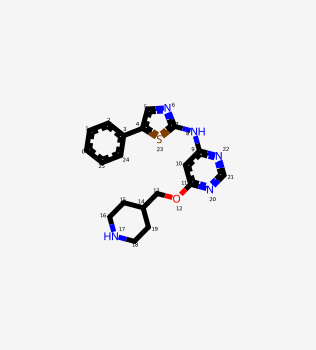 c1ccc(-c2cnc(Nc3cc(OCC4CCNCC4)ncn3)s2)cc1